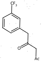 CC(=O)CC(=O)Cc1cccc(C(F)(F)F)c1